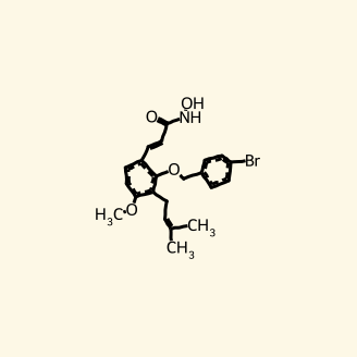 COc1ccc(/C=C/C(=O)NO)c(OCc2ccc(Br)cc2)c1CC=C(C)C